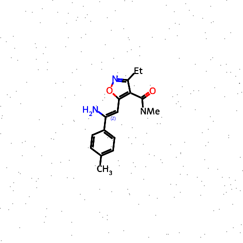 CCc1noc(/C=C(\N)c2ccc(C)cc2)c1C(=O)NC